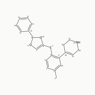 Cc1ccc(SC2=COC(c3ccccc3)O2)c(C2=CCNCC2)c1